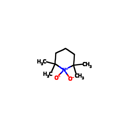 CC1(C)CCCC(C)(C)[N+]1([O-])[O-]